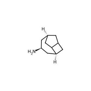 N[C@H]1C[C@H]2CC3C[C@@H](C1)C3C2